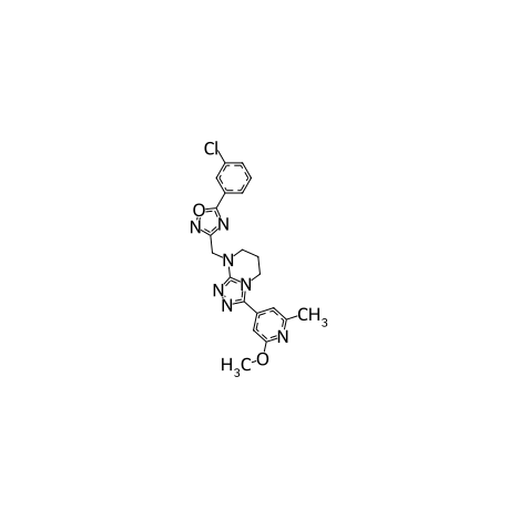 COc1cc(-c2nnc3n2CCCN3Cc2noc(-c3cccc(Cl)c3)n2)cc(C)n1